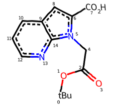 CC(C)(C)OC(=O)Cn1c(C(=O)O)cc2cccnc21